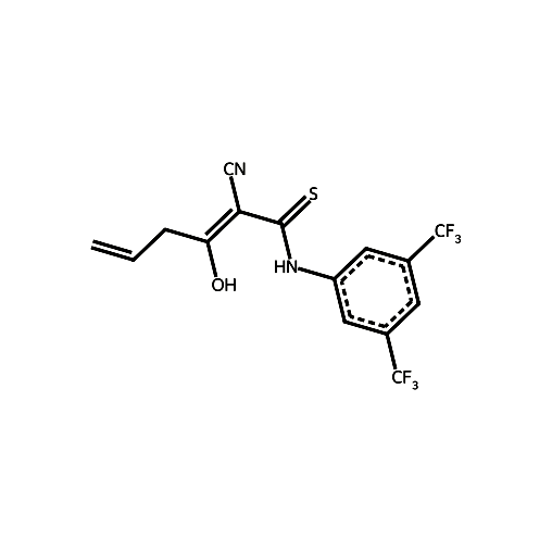 C=CCC(O)=C(C#N)C(=S)Nc1cc(C(F)(F)F)cc(C(F)(F)F)c1